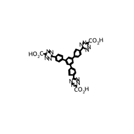 O=C(O)c1nnc(-c2ccc(-c3cc(-c4ccc(-c5nnc(C(=O)O)nn5)cc4)cc(-c4ccc(-c5nnc(C(=O)O)nn5)cc4)c3)cc2)nn1